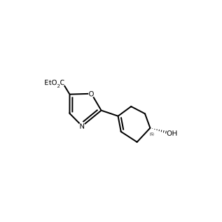 CCOC(=O)c1cnc(C2=CC[C@@H](O)CC2)o1